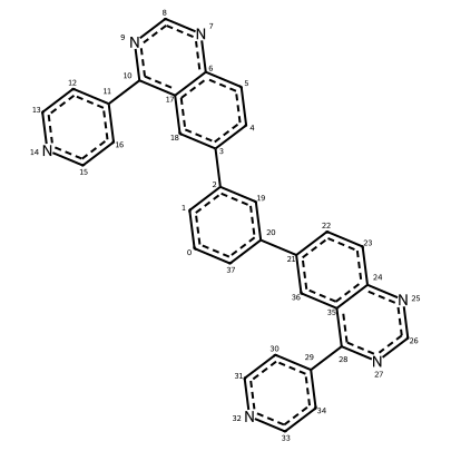 c1cc(-c2ccc3ncnc(-c4ccncc4)c3c2)cc(-c2ccc3ncnc(-c4ccncc4)c3c2)c1